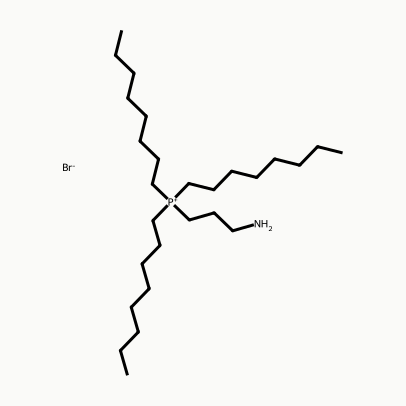 CCCCCCCC[P+](CCCN)(CCCCCCCC)CCCCCCCC.[Br-]